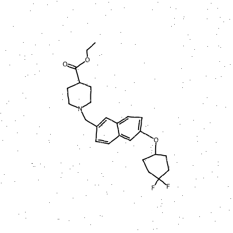 CCOC(=O)C1CCN(Cc2ccc3cc(OC4CCC(F)(F)CC4)ccc3c2)CC1